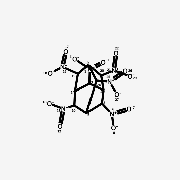 O=[N+]([O-])C1C2C([N+](=O)[O-])C3C([N+](=O)[O-])C1C([N+](=O)[O-])C(C2[N+](=O)[O-])C3[N+](=O)[O-]